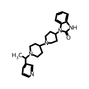 CC(c1cccnc1)N1CCC(N2CCC(n3c(=O)[nH]c4ccccc43)CC2)CC1